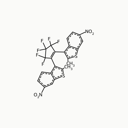 Cc1sc2cc([N+](=O)[O-])ccc2c1C1=C(c2c(C)sc3cc([N+](=O)[O-])ccc23)C(F)(F)C(F)(F)C1(F)F